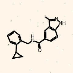 O=C(NCc1ccccc1C1CC1)c1ccc2[nH]nc(I)c2c1